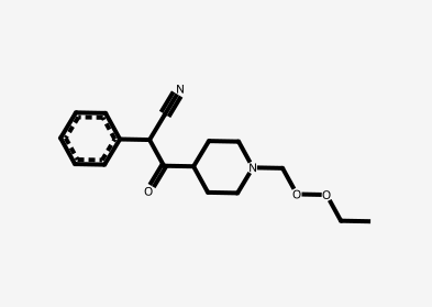 CCOOCN1CCC(C(=O)C(C#N)c2ccccc2)CC1